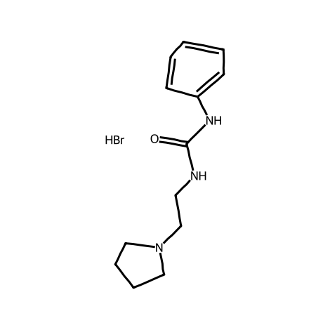 Br.O=C(NCCN1CCCC1)Nc1ccccc1